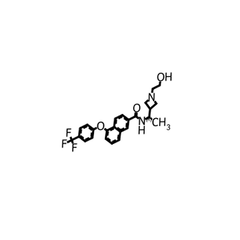 C[C@@H](NC(=O)c1ccc2c(Oc3ccc(C(F)(F)F)cc3)cccc2c1)C1CN(CCO)C1